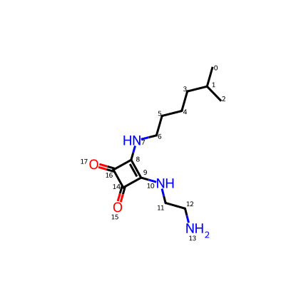 CC(C)CCCCNc1c(NCCN)c(=O)c1=O